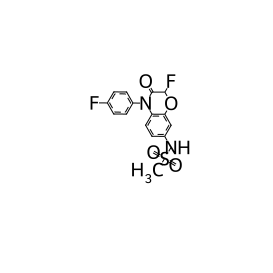 CS(=O)(=O)Nc1ccc2c(c1)OC(F)C(=O)N2c1ccc(F)cc1